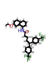 CCOc1ccc2cccc(NC(=O)C=CC=C(c3ccc(C(F)(F)F)cc3)c3ccc(C(F)(F)F)cc3)c2c1